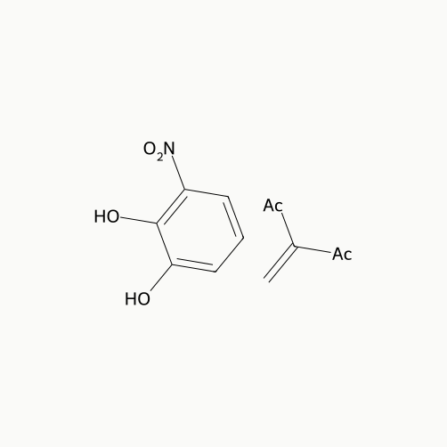 C=C(C(C)=O)C(C)=O.O=[N+]([O-])c1cccc(O)c1O